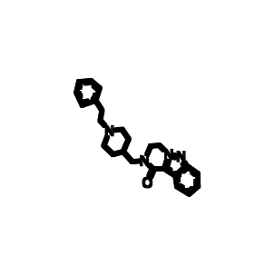 O=C1c2c3ccccc3nn2CCN1CC1CCN(CCc2ccccc2)CC1